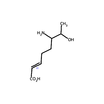 CC(O)C(N)CC/C=C/C(=O)O